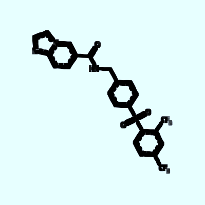 O=C(NCc1ccc(S(=O)(=O)c2ccc(C(F)(F)F)cc2C(F)(F)F)cc1)c1ccc2nccn2c1